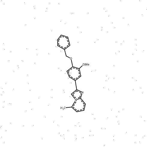 COc1cc(-c2cn3c(C)cccc3n2)ccc1OCc1ccccc1